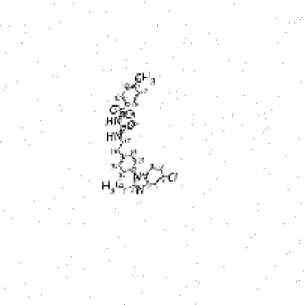 CCc1nc2cc(Cl)ccc2n1-c1ccc(CCNC(=O)NS(=O)(=O)c2ccc(C)cc2)cc1